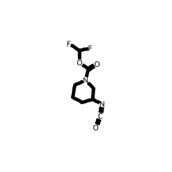 O=C=NC1CCCN(C(=O)OC(F)F)C1